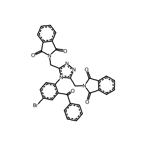 O=C(c1ccccc1)c1cc(Br)ccc1-n1c(CN2C(=O)c3ccccc3C2=O)nnc1CN1C(=O)c2ccccc2C1=O